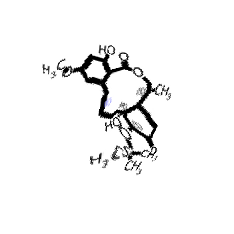 COc1cc(O)c2c(c1)/C=C/C[C@@]1(O)C(C=CC(=O)[C@H]1O[Si](C)(C)C)[C@H](C)OC2=O